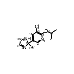 CC(C)Oc1ncc(C2(Br)N=CSN2)cc1Cl